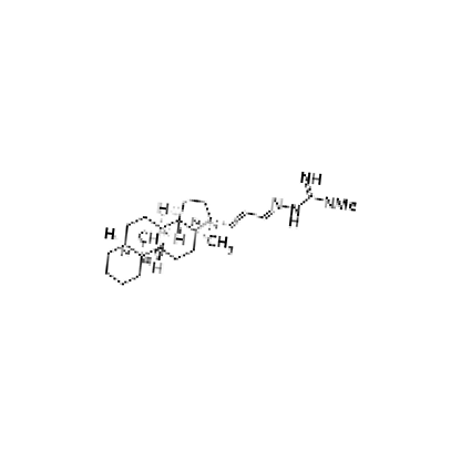 CNC(=N)NN=CC=C[C@H]1CC[C@H]2[C@@H]3CC[C@@H]4CCCC[C@]4(C)[C@H]3CC[C@]12C